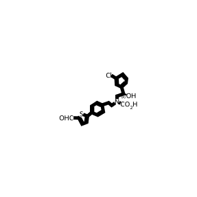 O=Cc1ccc(-c2ccc(CCN(C[C@H](O)c3cccc(Cl)c3)C(=O)O)cc2)s1